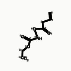 C=CCC(=O)ONC(=O)OCC(Cl)(Cl)Cl